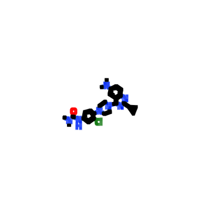 CN(C)C(=O)Nc1ccc(N2CCN(c3nc(C4CC4)nc4ccc(N(C)C)cc34)CC2)c(Cl)c1